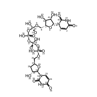 O=c1ccn([C@@H]2O[C@H](COP(=O)(O)OP(=O)(O)OP(=O)(O)OP(=O)(O)OC[C@@H]3C[C@@H](O)[C@H](n4ccc(=O)[nH]c4=O)O3)[C@@H](O)[C@H]2O)c(=O)[nH]1